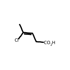 C/C(Cl)=C/CC(=O)O